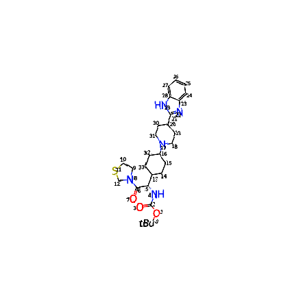 CC(C)(C)OC(=O)N[C@H](C(=O)N1CCSC1)C1CCC(N2CCC(c3nc4ccccc4[nH]3)CC2)CC1